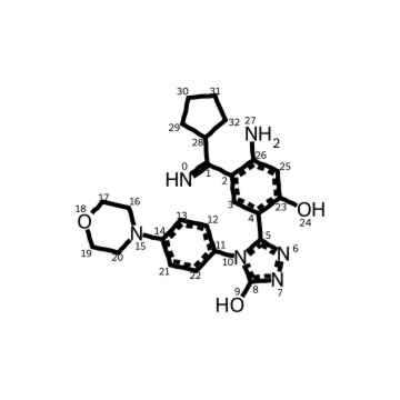 N=C(c1cc(-c2nnc(O)n2-c2ccc(N3CCOCC3)cc2)c(O)cc1N)C1CCCC1